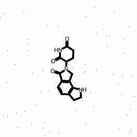 O=C1CCC(N2Cc3c(ccc4c3NCC4)C2=O)C(=O)N1